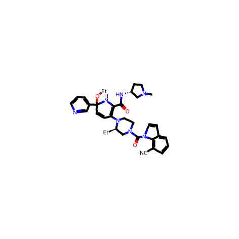 CCOC1(c2cccnc2)C=CC(N2CCN(C(=O)n3ccc4cccc(C#N)c43)C[C@H]2CC)=C(C(=O)N[C@@H]2CCN(C)C2)N1